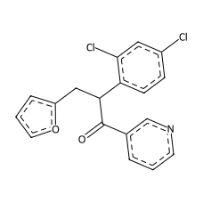 O=C(c1cccnc1)C(Cc1ccco1)c1ccc(Cl)cc1Cl